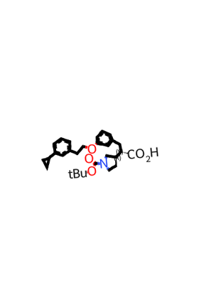 CC(C)(C)OC(=O)N1CC[C@H]([C@H](Cc2cccc(OCCc3cccc(C4CC4)c3)c2)C(=O)O)C1